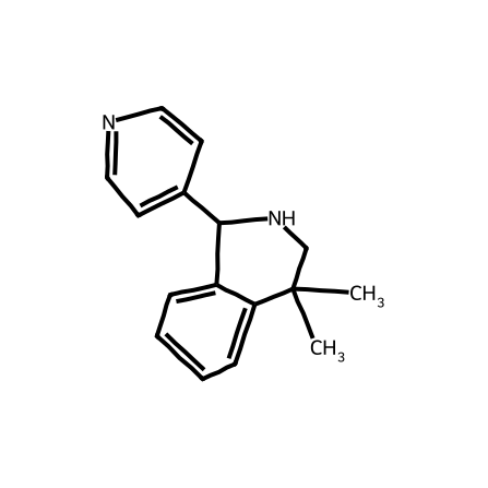 CC1(C)CNC(c2ccncc2)c2ccccc21